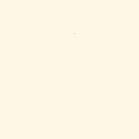 CCCCCCCCCCC1COC2(CC(C)(CC)N([O])C(C)(CC)C2C)O1